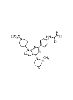 CCNC(=O)Nc1ccc(-c2nc(N3CCOC[C@H]3C)c3cnn(C4CCN(C(=O)OCC)CC4)c3n2)cc1